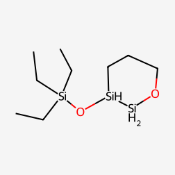 CC[Si](CC)(CC)O[SiH]1CCCO[SiH2]1